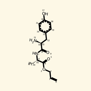 C=CCOC(=O)[C@@H](NC(=O)[C@@H](N)Cc1ccc(O)cc1)C(C)C